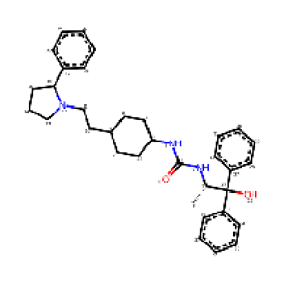 C[C@H](NC(=O)NC1CCC(CCN2CCCC2c2ccccc2)CC1)C(O)(c1ccccc1)c1ccccc1